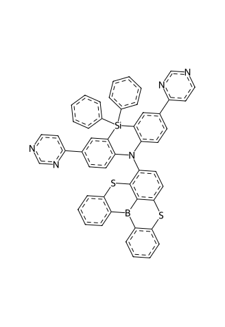 c1ccc([Si]2(c3ccccc3)c3cc(-c4ccncn4)ccc3N(c3ccc4c5c3Sc3ccccc3B5c3ccccc3S4)c3ccc(-c4ccncn4)cc32)cc1